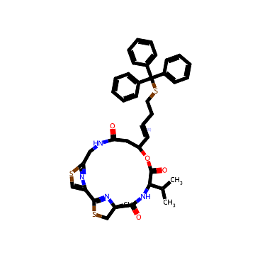 CC(C)C1NC(=O)C2(C)CSC(=N2)c2csc(n2)CNC(=O)CC(/C=C/CCSC(c2ccccc2)(c2ccccc2)c2ccccc2)OC1=O